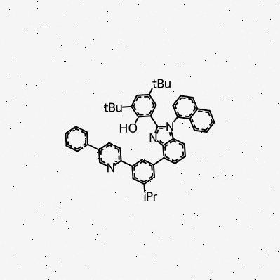 CC(C)c1cc(-c2ccc(-c3ccccc3)cn2)cc(-c2cccc3c2nc(-c2cc(C(C)(C)C)cc(C(C)(C)C)c2O)n3-c2cccc3ccccc23)c1